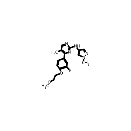 COCCOc1ccc(-c2nc(Nc3cnn(C)c3)ncc2C)cc1F